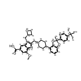 COc1cc(C(=O)O)cc2c1nc(CN1CCC(c3cccc4c3OC(C)(c3ccc(C(F)(F)F)cn3)O4)CC1)n2C[C@@H]1CCO1